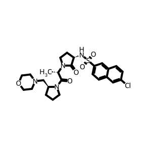 C[C@@H](C(=O)N1CCC[C@H]1CN1CCOCC1)N1CC[C@H](NS(=O)(=O)c2ccc3cc(Cl)ccc3c2)C1=O